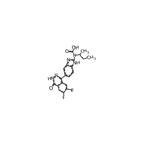 CCC(C)N(C(=O)O)c1nc2cc(-c3n[nH]c(=O)c4cc(F)c(F)cc34)ccc2[nH]1